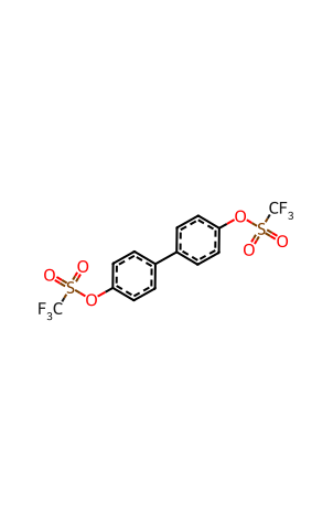 O=S(=O)(Oc1ccc(-c2ccc(OS(=O)(=O)C(F)(F)F)cc2)cc1)C(F)(F)F